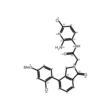 COc1ccc(-c2cccc3c2CN(CC(=O)Nc2ccc(Cl)nc2N)C3=O)c(Cl)c1